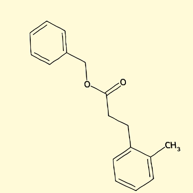 Cc1ccccc1CCC(=O)OCc1ccccc1